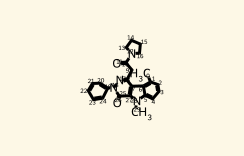 Cc1cccc2c1c1c(CC(=O)N3CCCC3)nn(-c3ccccc3)c(=O)c1n2C